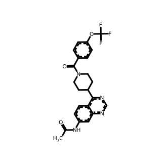 CC(=O)Nc1ccc2c(C3CCN(C(=O)c4ccc(OC(F)(F)F)cc4)CC3)ncnc2c1